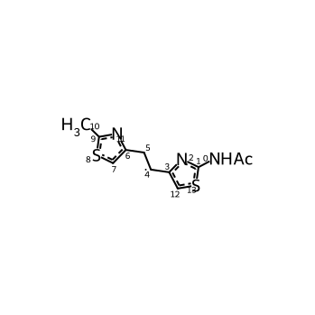 CC(=O)Nc1nc([CH]Cc2csc(C)n2)cs1